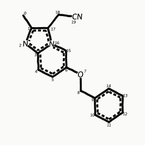 Cc1nc2ccc(OCc3ccccc3)cn2c1CC#N